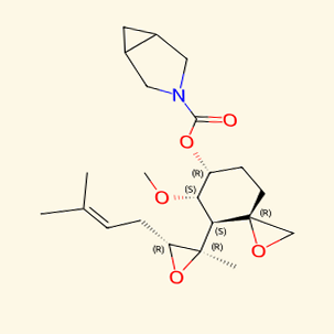 CO[C@@H]1[C@H](OC(=O)N2CC3CC3C2)CC[C@]2(CO2)[C@H]1[C@@]1(C)O[C@@H]1CC=C(C)C